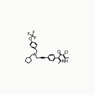 Cc1[nH]c(C)c(-c2ccc(C#CCN(Cc3ccc(OC(F)(F)F)cc3)CC3CCCC3)cc2)c(=O)c1Cl